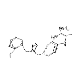 CC1=C(N)Nc2cc(CNCc3ccccc3F)ccc2O1